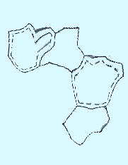 [c]1cc2c(c3c1Cc1ccccc1-3)CCC2